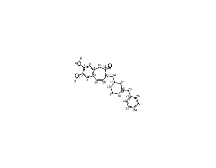 COc1cc2c(cc1OC)CC(=O)N(CC1CCCN(Cc3ccccc3)C1)C=C2